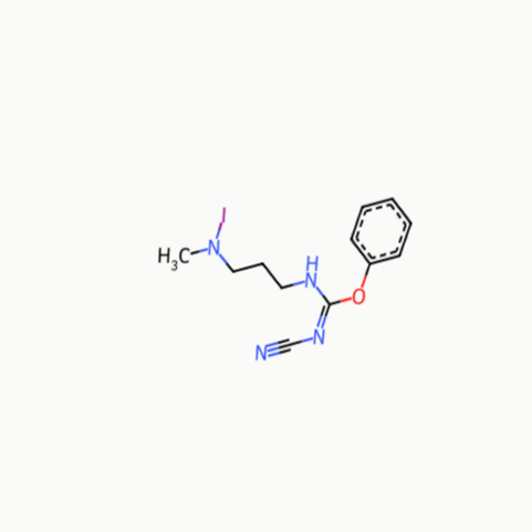 CN(I)CCCN/C(=N\C#N)Oc1ccccc1